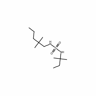 CCCC(C)(C)CNS(=O)(=O)NC(C)(C)CC